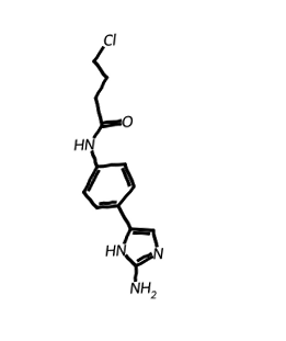 Nc1ncc(-c2ccc(NC(=O)CCCCl)cc2)[nH]1